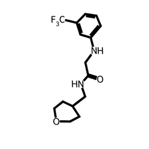 O=C(CNc1cccc(C(F)(F)F)c1)NCC1CCOCC1